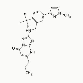 CCCc1cc(=O)n2nc(NCc3cc(-c4ccn(C)n4)ccc3C(F)(F)F)nc2[nH]1